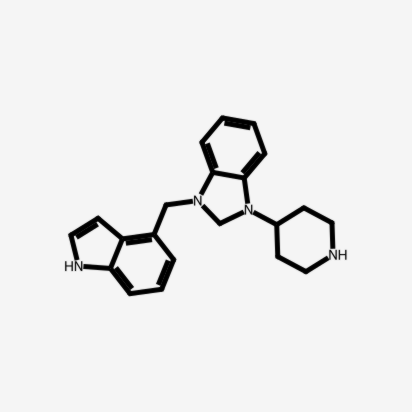 c1ccc2c(c1)N(Cc1cccc3[nH]ccc13)CN2C1CCNCC1